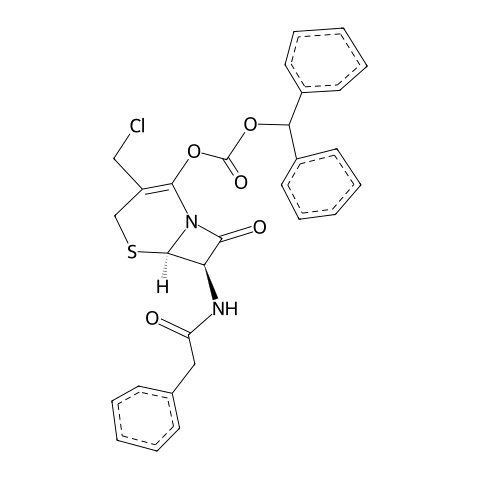 O=C(Cc1ccccc1)N[C@@H]1C(=O)N2C(OC(=O)OC(c3ccccc3)c3ccccc3)=C(CCl)CS[C@H]12